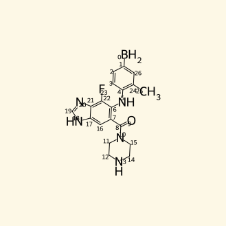 Bc1ccc(Nc2c(C(=O)N3CCNCC3)cc3[nH]cnc3c2F)c(C)c1